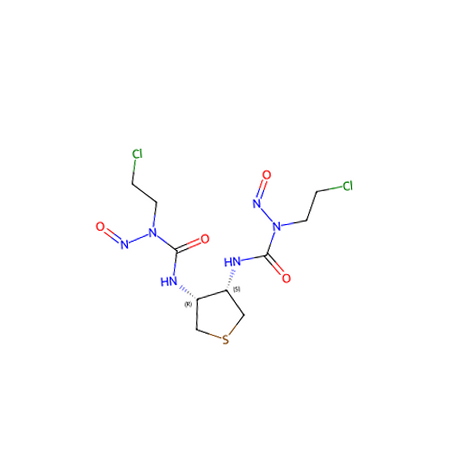 O=NN(CCCl)C(=O)N[C@H]1CSC[C@H]1NC(=O)N(CCCl)N=O